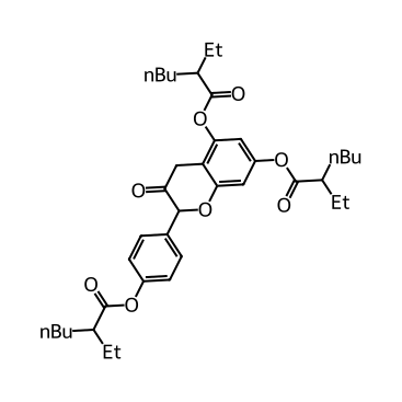 CCCCC(CC)C(=O)Oc1ccc(C2Oc3cc(OC(=O)C(CC)CCCC)cc(OC(=O)C(CC)CCCC)c3CC2=O)cc1